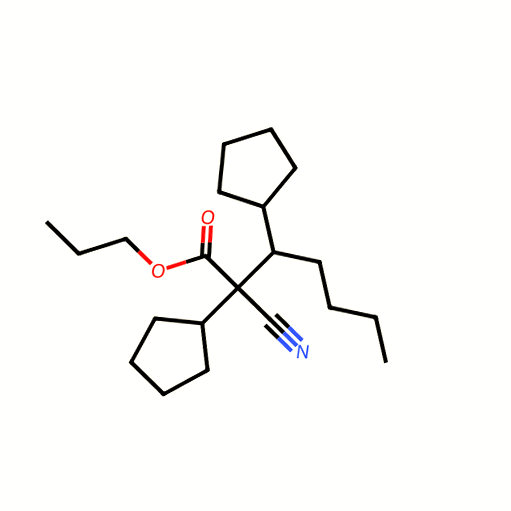 CCCCC(C1CCCC1)C(C#N)(C(=O)OCCC)C1CCCC1